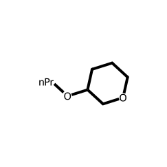 [CH2]CCOC1CCCOC1